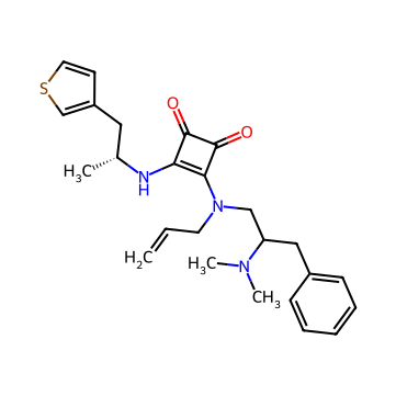 C=CCN(CC(Cc1ccccc1)N(C)C)c1c(N[C@H](C)Cc2ccsc2)c(=O)c1=O